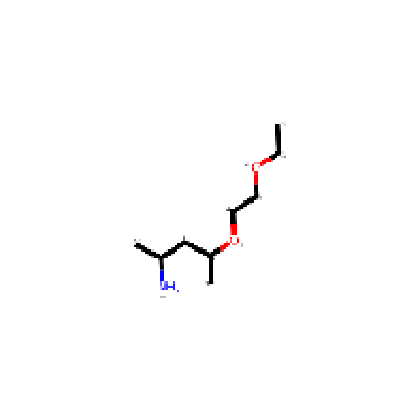 CCOCCOC(C)CC(C)N